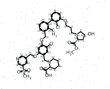 COC(=O)[C@@H]1C[C@@H](O)CN1CCCOc1cccc(-c2cccc(COc3cc(OCc4cncc(S(C)(=O)=O)c4)c(CN4CCCCC4C(=O)O)cc3Cl)c2C)c1Cl